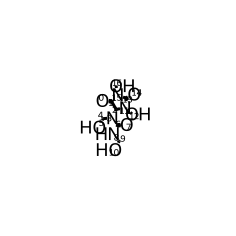 O=C1C(N(CO)C(=O)NCO)N(O)C(=O)N1O